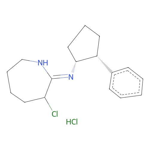 Cl.ClC1CCCCNC1=N[C@@H]1CCC[C@@H]1c1ccccc1